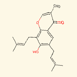 CC(C)=CCc1cc2c(=O)c(C=O)coc2c(CC=C(C)C)c1O